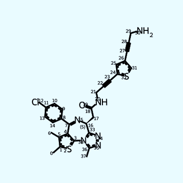 Cc1sc2c(c1C)C(c1ccc(Cl)cc1)=N[C@@H](CC(=O)NCC#Cc1cc(C#CCN)cs1)c1nnc(C)n1-2